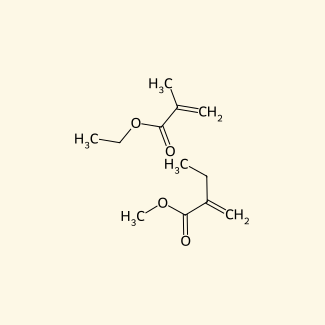 C=C(C)C(=O)OCC.C=C(CC)C(=O)OC